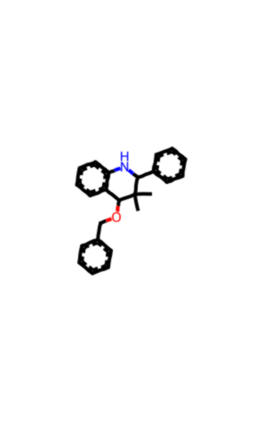 CC1(C)C(c2ccccc2)Nc2ccccc2C1OCc1ccccc1